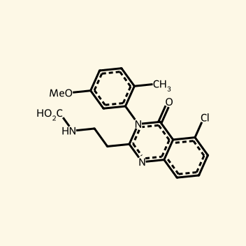 COc1ccc(C)c(-n2c(CCNC(=O)O)nc3cccc(Cl)c3c2=O)c1